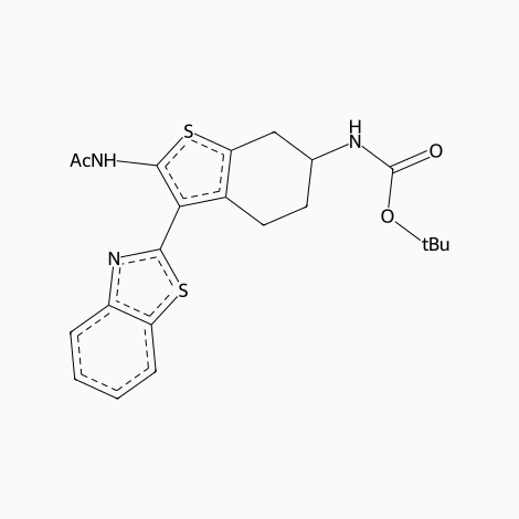 CC(=O)Nc1sc2c(c1-c1nc3ccccc3s1)CCC(NC(=O)OC(C)(C)C)C2